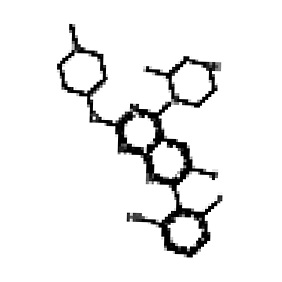 CC1CNCCN1c1nc(OC2CCN(C)CC2)nc2nc(-c3c(O)cccc3F)c(F)cc12